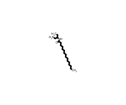 CCCCCCCCCCCCCCCC(=O)NC(CC)CN